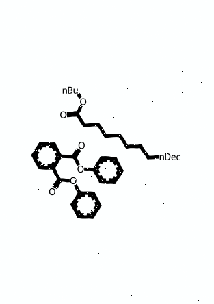 CCCCCCCCCCCCCCCCCC(=O)OCCCC.O=C(Oc1ccccc1)c1ccccc1C(=O)Oc1ccccc1